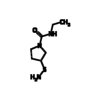 CCNC(=O)N1CCC(SN)C1